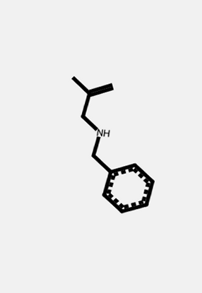 C=C(C)CNCc1ccccc1